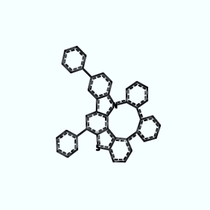 c1ccc(-c2ccc3c(c2)c2cc(-c4ccccc4)c4sc5cccc6c7ccccc7c7ccccc7n3c2c4c56)cc1